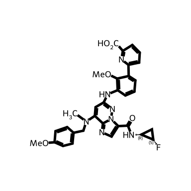 COc1ccc(CN(C)c2cc(Nc3cccc(-c4cccc(C(=O)O)n4)c3OC)nn3c(C(=O)N[C@@H]4C[C@@H]4F)cnc23)cc1